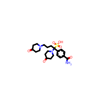 NC(=O)c1ccc(C(CCCN2CCC(=O)CC2)(N2CCC(=O)CC2)S(=O)(=O)O)cc1